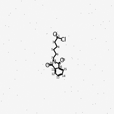 O=C(Cl)CCCCCN1C(=O)c2ccccc2C1=O